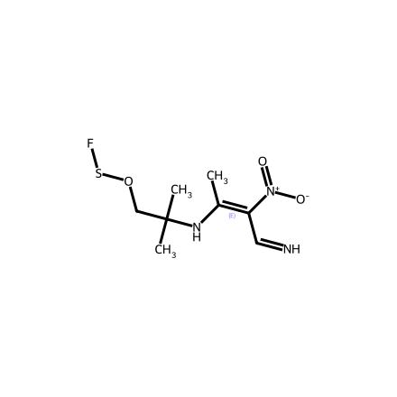 C/C(NC(C)(C)COSF)=C(/C=N)[N+](=O)[O-]